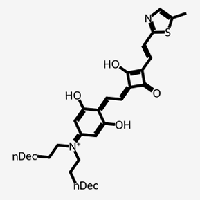 CCCCCCCCCCCC[N+](CCCCCCCCCCCC)=C1C=C(O)C(=C/C=C2/C(=O)C(/C=C/c3ncc(C)s3)=C2O)C(O)=C1